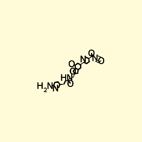 COc1cc(-c2ccc(C(=O)N3CCOCC3)cn2)cc2cc(CNC(=O)C=Cc3ccc(N)nc3)oc12